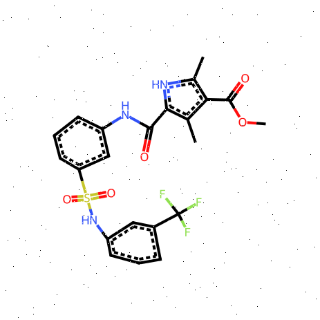 COC(=O)c1c(C)[nH]c(C(=O)Nc2cccc(S(=O)(=O)Nc3cccc(C(F)(F)F)c3)c2)c1C